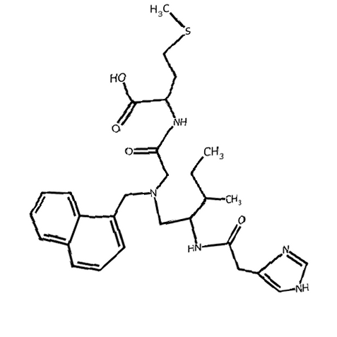 CCC(C)C(CN(CC(=O)NC(CCSC)C(=O)O)Cc1cccc2ccccc12)NC(=O)Cc1c[nH]cn1